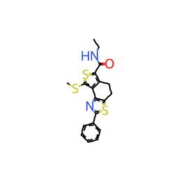 CCNC(=O)c1sc(SC)c2c1CCc1sc(-c3ccccc3)nc1-2